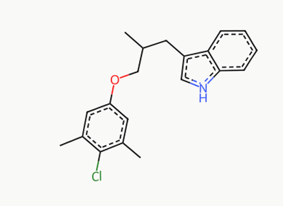 Cc1cc(OCC(C)Cc2c[nH]c3ccccc23)cc(C)c1Cl